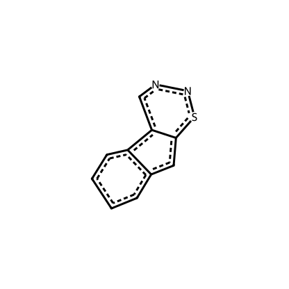 c1ccc2c3cnnsc-3cc2c1